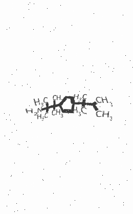 CC(C)C(C)(C)c1ccc(C(C)(C)C(C)(C)N)cc1